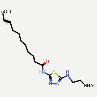 CCCCCCCC/C=C/CCCCCCCC(=O)Nc1nnc(NCCNC(C)=O)s1